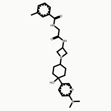 Cc1cccc(C(=O)NCC(=O)NC2CN(C3CCC(O)(c4ccc(N(C)C)nc4)CC3)C2)c1